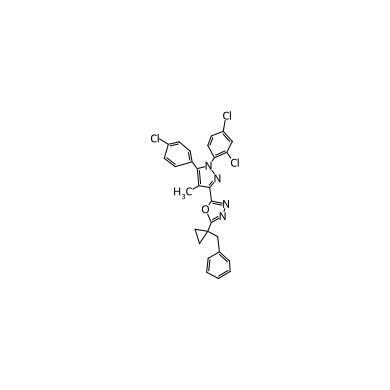 Cc1c(-c2nnc(C3(Cc4ccccc4)CC3)o2)nn(-c2ccc(Cl)cc2Cl)c1-c1ccc(Cl)cc1